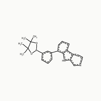 CC1(C)OB(c2cccc(-c3cccc4c3[nH]c3cnccc34)c2)OC1(C)C